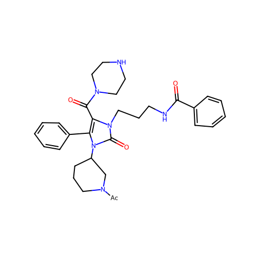 CC(=O)N1CCCC(n2c(-c3ccccc3)c(C(=O)N3CCNCC3)n(CCCNC(=O)c3ccccc3)c2=O)C1